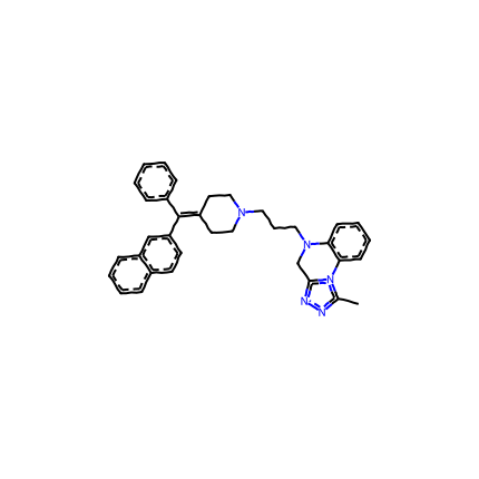 Cc1nnc2n1-c1ccccc1N(CCCN1CCC(=C(c3ccccc3)c3ccc4ccccc4c3)CC1)C2